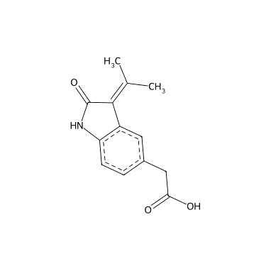 CC(C)=C1C(=O)Nc2ccc(CC(=O)O)cc21